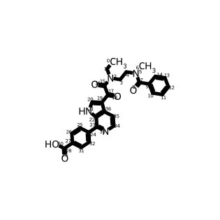 CCN(CCN(C)C(=O)c1ccccc1)C(=O)C(=O)c1c[nH]c2c(-c3ccc(C(=O)O)cc3)nccc12